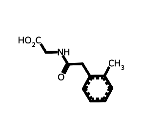 Cc1ccccc1CC(=O)NCC(=O)O